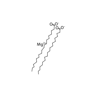 CCCCCCCCCCCCCCCCCCCC(=O)[O-].CCCCCCCCCCCCCCCCCCCC(=O)[O-].[Mg+2]